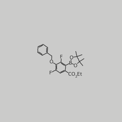 CCOC(=O)c1cc(F)c(OCc2ccccc2)c(F)c1B1OC(C)(C)C(C)(C)O1